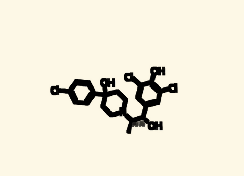 C[C@H]([C@H](O)c1cc(Cl)c(O)c(Cl)c1)N1CCC(O)(c2ccc(Cl)cc2)CC1